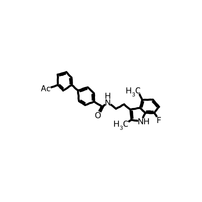 CC(=O)c1cccc(-c2ccc(C(=O)NCCc3c(C)[nH]c4c(F)ccc(C)c34)cc2)c1